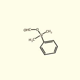 C[Si](C)(OC=O)c1ccccc1